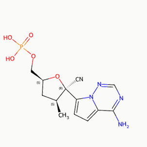 C[C@H]1C[C@@H](COP(=O)(O)O)O[C@@]1(C#N)c1ccc2c(N)ncnn12